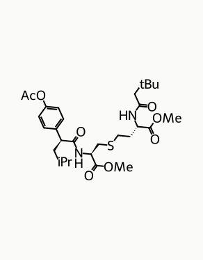 COC(=O)[C@H](CCSC[C@H](NC(=O)[C@@H](CC(C)C)c1ccc(OC(C)=O)cc1)C(=O)OC)NC(=O)CC(C)(C)C